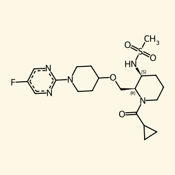 CS(=O)(=O)N[C@H]1CCCN(C(=O)C2CC2)[C@H]1COC1CCN(c2ncc(F)cn2)CC1